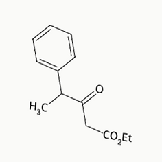 CCOC(=O)CC(=O)C(C)c1ccccc1